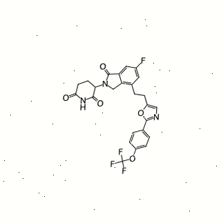 O=C1CCC(N2Cc3c(CCc4cnc(-c5ccc(OC(F)(F)F)cc5)o4)cc(F)cc3C2=O)C(=O)N1